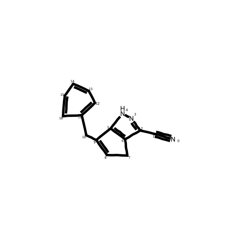 N#Cc1n[nH]c2c1CC=C2Cc1ccccc1